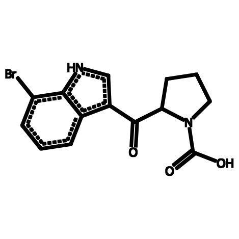 O=C(c1c[nH]c2c(Br)cccc12)C1CCCN1C(=O)O